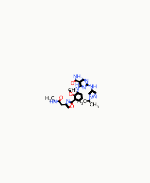 CNC(=O)Cc1coc(-c2cccc(Nc3nc(Nc4cnn(C(C)C)c4)ncc3C(N)=O)c2OC)n1